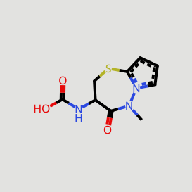 CN1C(=O)C(NC(=O)O)CSc2cccn21